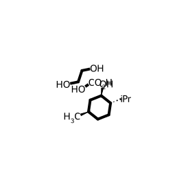 CC(C)[C@@H]1CC[C@@H](C)C[C@H]1O.O=C(O)O.OCCO